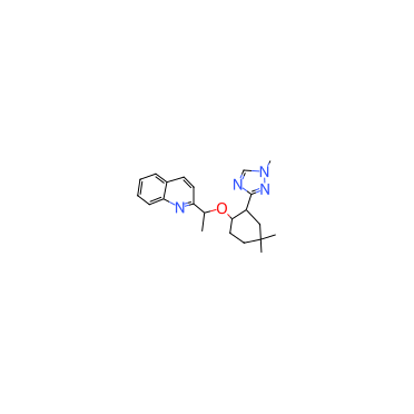 CC(OC1CCC(C)(C)CC1c1ncn(C)n1)c1ccc2ccccc2n1